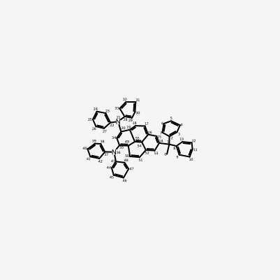 CC(c1ccccc1)(c1ccccc1)c1cc2ccc3c(N(c4ccccc4)c4ccccc4)cc(N(c4ccccc4)c4ccccc4)c4ccc(c1)c2c34